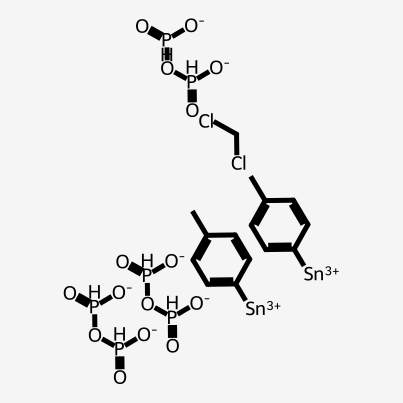 Cc1cc[c]([Sn+3])cc1.Cc1cc[c]([Sn+3])cc1.ClCCl.O=[PH]([O-])O[PH](=O)[O-].O=[PH]([O-])O[PH](=O)[O-].O=[PH]([O-])O[PH](=O)[O-]